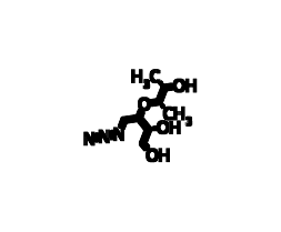 C[C@H](O)[C@H](C)OC(CN=[N+]=[N-])[C@@H](O)CO